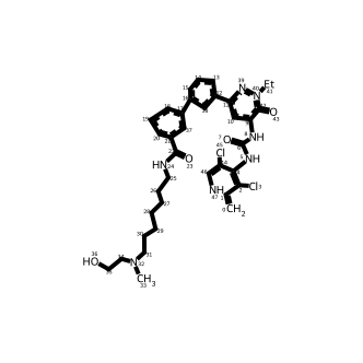 C=C/C(Cl)=C(NC(=O)Nc1cc(-c2cccc(-c3cccc(C(=O)NCCCCCCCN(C)CCO)c3)c2)nn(CC)c1=O)\C(Cl)=C/N